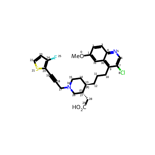 COc1ccc2ncc(Cl)c(CCC[C@@H]3CCN(CC#Cc4sccc4F)C[C@H]3CC(=O)O)c2c1